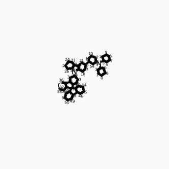 c1ccc(N(c2ccccc2)c2cccc(-c3ccc4c(c3)c3ccccc3n4-c3ccc4c(c3)-c3ccccc3C43c4ccccc4-c4ccccc43)c2)cc1